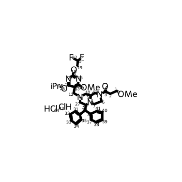 COCCC(=O)N1CCN2C(CN(Cc3c(OC)nc(OCC(F)F)nc3OC(C)C)CC2C(c2ccccc2)c2ccccc2)C1.Cl.Cl